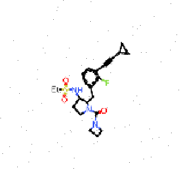 CCS(=O)(=O)NC1CCN(C(=O)N2CCC2)C1Cc1cccc(C#CC2CC2)c1F